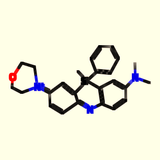 CN(C)c1ccc2c(c1)[Si](C)(c1ccccc1)C1=CC(=[N+]3CCOCC3)C=CC1=N2